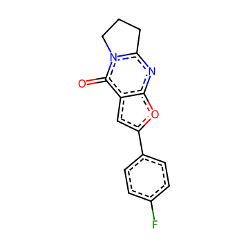 O=c1c2cc(-c3ccc(F)cc3)oc2nc2n1CCC2